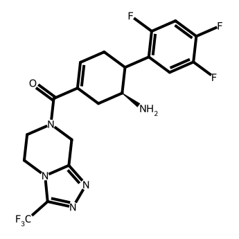 N[C@H]1CC(C(=O)N2CCn3c(nnc3C(F)(F)F)C2)=CCC1c1cc(F)c(F)cc1F